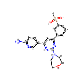 CS(=O)(=O)c1cccc(-c2cc(-c3ccc(N)nc3)nc(N3CCOCC3)n2)c1